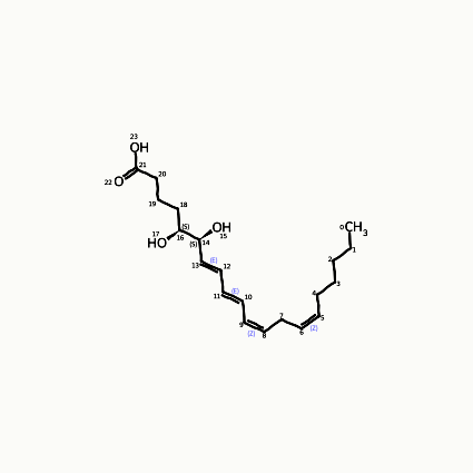 CCCCC/C=C\C\C=C/C=C/C=C/[C@H](O)[C@@H](O)CCCC(=O)O